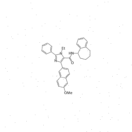 CCn1c(-c2ccccc2)nc(-c2ccc3cc(OC)ccc3c2)c1C(=O)NC1CCCCc2ccccc21